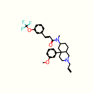 C=CCN1CCC2(c3cccc(OC)c3)CC(N(C)C(=O)/C=C/c3cccc(OC(F)(F)F)c3)CCC2C1